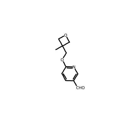 CC1(COc2ccc(C=O)cn2)COC1